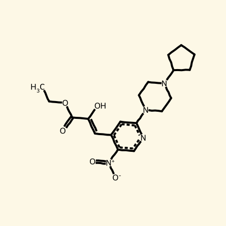 CCOC(=O)C(O)=Cc1cc(N2CCN(C3CCCC3)CC2)ncc1[N+](=O)[O-]